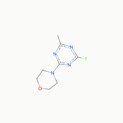 Cc1nc(F)nc(N2CCOCC2)n1